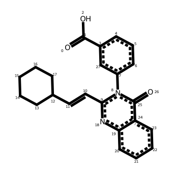 O=C(O)c1cccc(-n2c(/C=C/C3CCCCC3)nc3ccccc3c2=O)c1